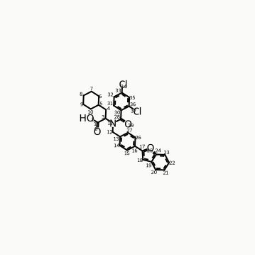 O=C(O)C(CC1CCCCC1)N(Cc1ccc(-c2cc3ccccc3o2)cc1)C(=O)c1ccc(Cl)cc1Cl